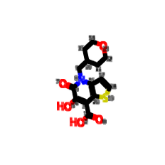 O=C(O)c1c(O)c(=O)n(CC2CCOCC2)c2ccsc12